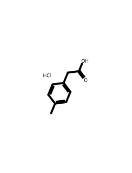 Cc1ccc(CC(=O)O)cc1.Cl